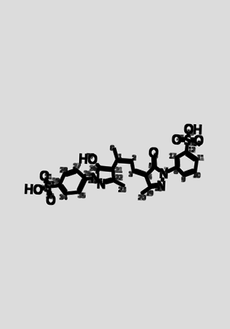 CC(=CC=C1C(=O)N(c2cccc(S(=O)(=O)O)c2)N=C1C)c1c(C)nn(-c2ccc(S(=O)(=O)O)cc2)c1O